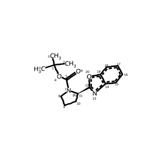 CC(C)(C)OC(=O)N1CCC[C@@H]1c1nc2ccccc2o1